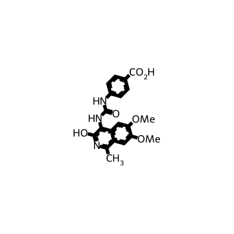 COc1cc2c(C)nc(O)c(NC(=O)Nc3ccc(C(=O)O)cc3)c2cc1OC